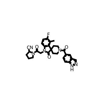 Cc1c(F)ccc2c1C1(CCN(C(=O)c3ccc4[nH]ncc4c3)CC1)C(=O)N2CC(=O)N1CCCC1C#N